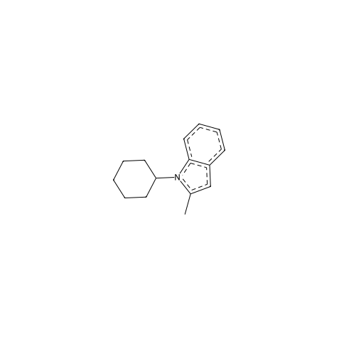 Cc1cc2ccccc2n1C1CCCCC1